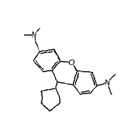 CN(C)c1ccc2c(c1)Oc1cc(N(C)C)ccc1C2C1CCCC1